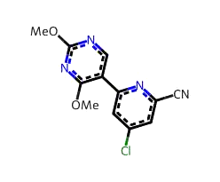 COc1ncc(-c2cc(Cl)cc(C#N)n2)c(OC)n1